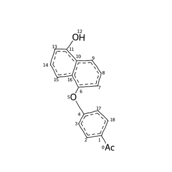 CC(=O)c1ccc(Oc2cccc3c(O)cccc23)cc1